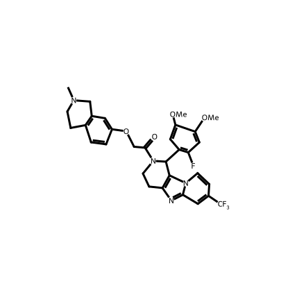 COc1cc(F)c(C2c3c(nc4cc(C(F)(F)F)ccn34)CCN2C(=O)COc2ccc3c(c2)CN(C)CC3)cc1OC